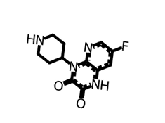 O=c1[nH]c2cc(F)cnc2n(C2CCNCC2)c1=O